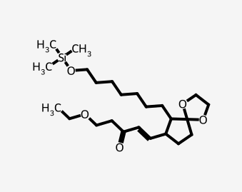 CCOCCC(=O)C=CC1CCC2(OCCO2)C1CCCCCCCO[Si](C)(C)C